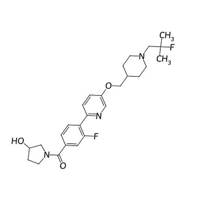 CC(C)(F)CN1CCC(COc2ccc(-c3ccc(C(=O)N4CCC(O)C4)cc3F)nc2)CC1